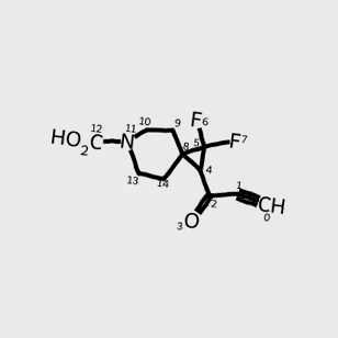 C#CC(=O)C1C(F)(F)C12CCN(C(=O)O)CC2